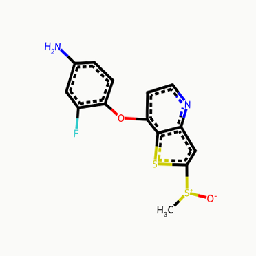 C[S+]([O-])c1cc2nccc(Oc3ccc(N)cc3F)c2s1